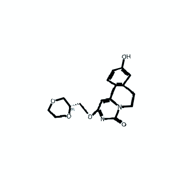 O=c1nc(OC[C@H]2COCCO2)cc2n1CCc1cc(O)ccc1-2